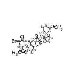 COc1ccc(CN(c2ncco2)S(=O)(=O)c2ccc3c(ccc(=O)n3-c3cc(Cl)c(Br)cc3OC)c2)cc1